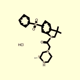 C[C@@H]1CN(CC(=O)N2CC(C)(C)c3ccc(S(=O)(=O)c4ccccc4)cc32)CCN1.Cl